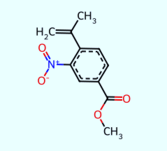 C=C(C)c1ccc(C(=O)OC)cc1[N+](=O)[O-]